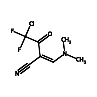 CN(C)/C=C(/C#N)C(=O)C(F)(F)Cl